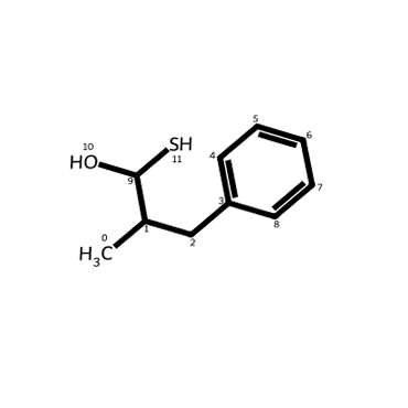 CC(Cc1ccccc1)C(O)S